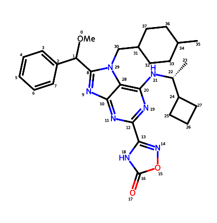 COC(c1ccccc1)c1nc2nc(-c3noc(=O)[nH]3)nc(N[C@H](C)C3CCC3)c2n1CC1CCC(C)CC1